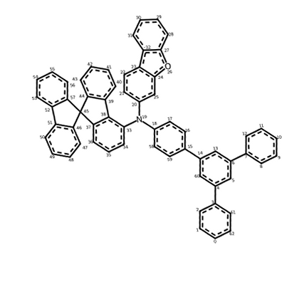 c1ccc(-c2cc(-c3ccccc3)cc(-c3ccc(N(c4ccc5c(c4)oc4ccccc45)c4cccc5c4-c4ccccc4C54c5ccccc5-c5ccccc54)cc3)c2)cc1